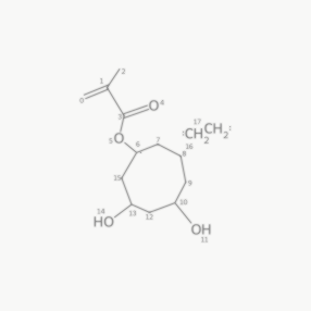 C=C(C)C(=O)O[C]1CCCC(O)CC(O)C1.[CH2].[CH2]